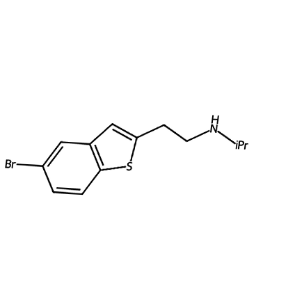 CC(C)NCCc1cc2cc(Br)ccc2s1